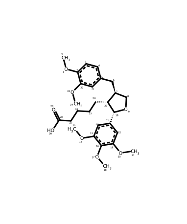 COc1ccc(C[C@H]2CO[C@H](c3cc(OC)c(OC)c(OC)c3)[C@@H]2CCCCC(=O)O)cc1OC